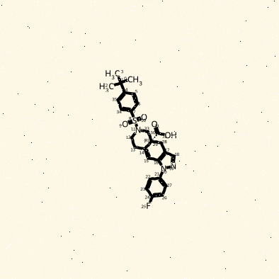 CC(C)(C)c1ccc(S(=O)(=O)N2CCC3=Cc4c(cnn4-c4ccc(F)cc4)C[C@]3(C(=O)O)C2)cc1